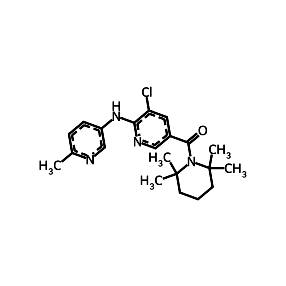 Cc1ccc(Nc2ncc(C(=O)N3C(C)(C)CCCC3(C)C)cc2Cl)cn1